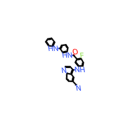 N#Cc1ccc2nccc(Nc3ccc(F)c(C(=O)Nc4cccc(Nc5ccccc5)c4)c3)c2c1